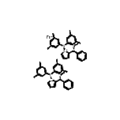 Cc1cc(C)cc(P(c2cc(C)cc(C)c2)[c-]2cccc2[C@H](c2ccccc2)N(C)C)c1.Cc1cc(C)cc(P(c2cc(C)cc(C)c2)[c-]2cccc2[C@H](c2ccccc2)N(C)C)c1.[Fe+2]